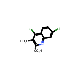 O=C(O)c1nc2cc(Cl)ccc2c(Cl)c1C(=O)O